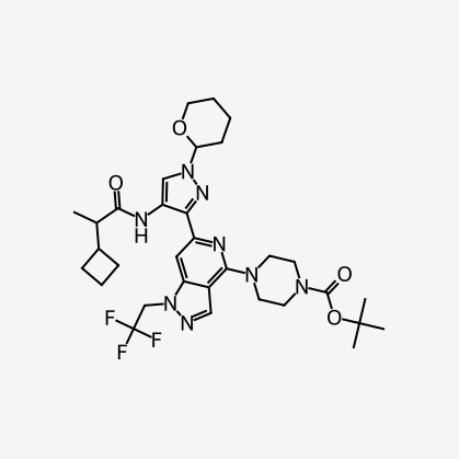 CC(C(=O)Nc1cn(C2CCCCO2)nc1-c1cc2c(cnn2CC(F)(F)F)c(N2CCN(C(=O)OC(C)(C)C)CC2)n1)C1CCC1